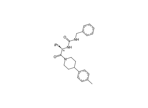 Cc1ccc(C2CCN(C(=O)[C@H](NC(=O)NCc3ccccc3)C(C)C)CC2)cc1